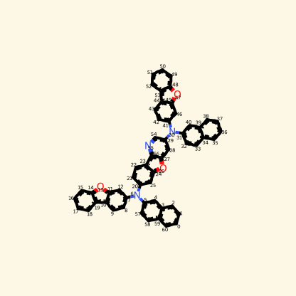 c1ccc2cc(N(c3ccc4c(c3)oc3ccccc34)c3ccc4c(c3)oc3cc(N(c5ccc6ccccc6c5)c5ccc6c(c5)oc5ccccc56)cnc34)ccc2c1